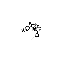 Cc1nc2cc(F)c(-c3ccc(P(C)(C)=O)nc3)nc2c(N[C@H](C)c2cccc(C(F)(F)F)c2)c1Cl